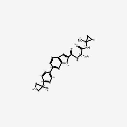 CCC[C@H](NC(=O)c1cc2ccc(-c3ccc(C4(O)COC4)cc3)cc2o1)C(=O)NC1(C#N)CC1